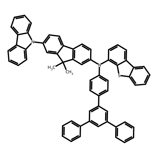 CC1(C)c2cc(N(c3ccc(-c4cc(-c5ccccc5)cc(-c5ccccc5)c4)cc3)c3cccc4c3sc3ccccc34)ccc2-c2ccc(-n3c4ccccc4c4ccccc43)cc21